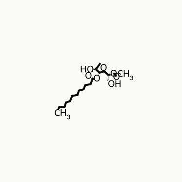 CCCCCCCCCCCC(=O)O[C@H]1[C@@H]([C@@H](CO)OOC)OC[C@@H]1O